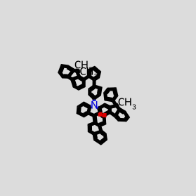 CC1(C)c2ccccc2-c2cccc(-c3ccccc3-c3ccc(N(c4ccc5c(c4)C(C)(c4ccccc4)c4ccccc4-5)c4ccccc4-c4cccc5c4ccc4ccccc45)cc3)c21